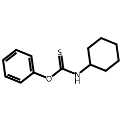 S=C(NC1CCCCC1)Oc1ccccc1